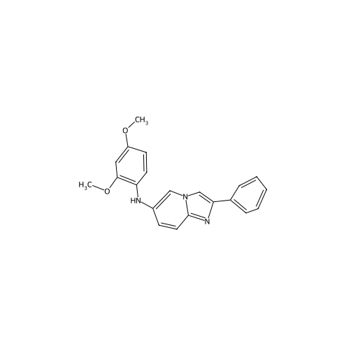 COc1ccc(Nc2ccc3nc(-c4ccccc4)cn3c2)c(OC)c1